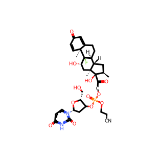 C[C@@H]1C[C@H]2[C@@H]3CCC4=CC(=O)C=C[C@]4(C)[C@@]3(F)[C@@H](O)C[C@]2(C)[C@@]1(O)C(=O)COP(=O)(OCCC#N)OC1C[C@H](n2ccc(=O)[nH]c2=O)O[C@@H]1CO